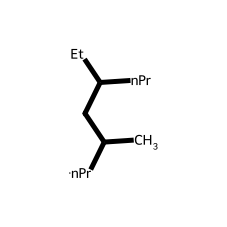 CC[CH]C(C)CC(CC)CCC